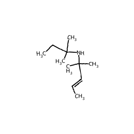 CC=CC(C)(C)NC(C)(C)CC